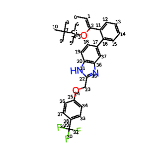 CC=C(O[Si](C)(C)C(C)(C)C)c1ccccc1-c1ccc2[nH]c(COc3ccc(C(F)(F)F)cc3)nc2c1